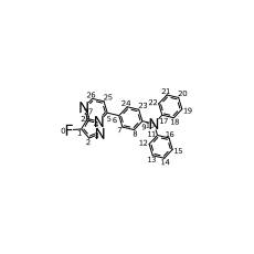 Fc1cnn2c(-c3ccc(N(c4ccccc4)c4ccccc4)cc3)ccnc12